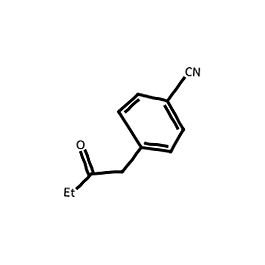 CCC(=O)Cc1ccc(C#N)cc1